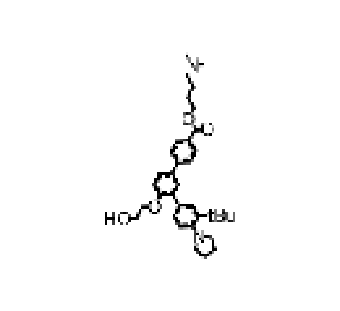 CN(C)CCCCOC(=O)c1ccc(-c2ccc(OCCO)c(-c3ccc(N4CCCC4)c(C(C)(C)C)c3)c2)cc1